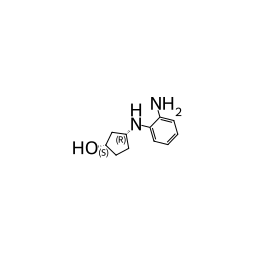 Nc1ccccc1N[C@@H]1CC[C@H](O)C1